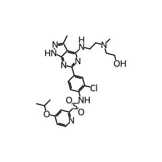 Cc1n[nH]c2nc(-c3ccc(NS(=O)(=O)c4cc(OC(C)C)ccn4)c(Cl)c3)nc(NCCN(C)CCO)c12